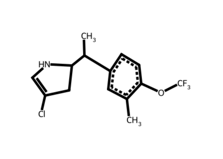 Cc1cc(C(C)C2CC(Cl)=CN2)ccc1OC(F)(F)F